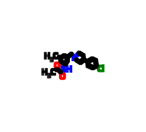 Cc1cc(CN2CC=C(c3ccc(Cl)cc3)CC2)cc2c1OC(C)C(=O)N2